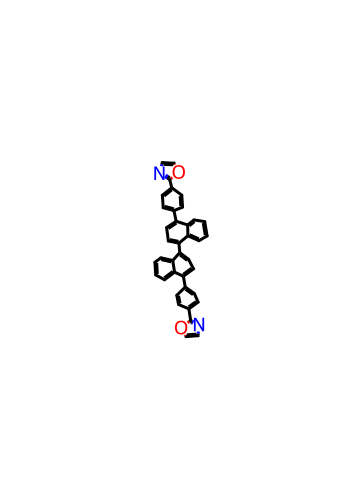 c1ccc2c(-c3ccc(-c4ccc(-c5ncco5)cc4)c4ccccc34)ccc(-c3ccc(-c4ncco4)cc3)c2c1